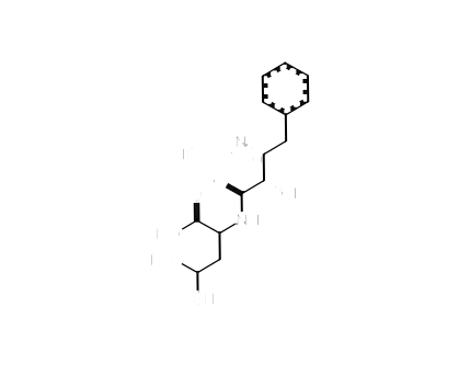 CC(C)CC(NC(=O)[C@@H](O)[C@H](N)Cc1ccccc1)C(=O)O.Cl